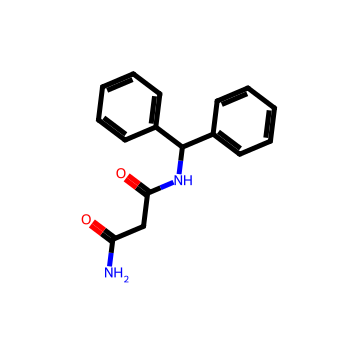 NC(=O)CC(=O)NC(c1ccccc1)c1ccccc1